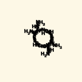 NCCNCCN1CCNCCNCCSSCCN(CCN)CCN(CCNCCN)CCNCCNCCSSCCC(CCN)CC1